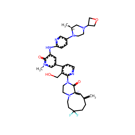 C=C1/C=C2/C(=O)N(c3nccc(-c4cc(Nc5ccc(N6CCN(C7COC7)C[C@@H]6C)cn5)c(=O)n(C)c4)c3CO)CCN2CCC(F)(F)CC1